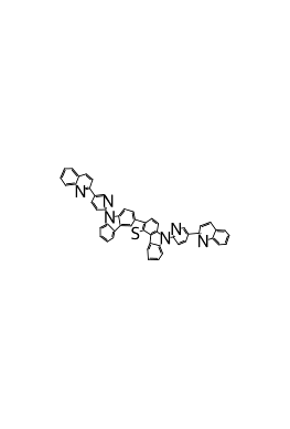 c1ccc2nc(-c3ccc(-n4c5ccccc5c5c6sc7c(ccc8c7c7ccccc7n8-c7ccc(-c8ccc9ccccc9n8)cn7)c6ccc54)nc3)ccc2c1